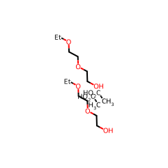 CC(=O)O.CC(=O)O.CCOCCOCCO.CCOCCOCCO